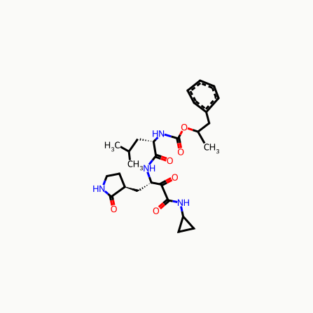 CC(C)C[C@H](NC(=O)OC(C)Cc1ccccc1)C(=O)N[C@@H](C[C@@H]1CCNC1=O)C(=O)C(=O)NC1CC1